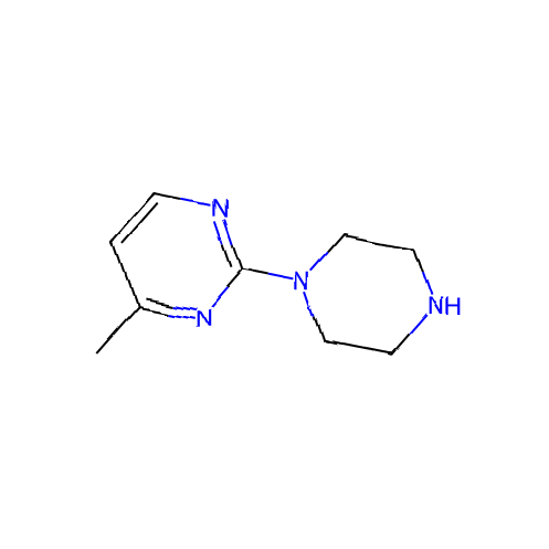 Cc1ccnc(N2CCNCC2)n1